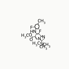 COC(=O)C1=CN2C(=NCC2[Si](C)(C)C)C(F)=C1Nc1ccc(C)cc1F